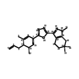 C=CCC1C(C)=CC(c2nnc(-c3nn(C)c4c3CCC(C)(C)C4)o2)=CC1C